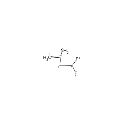 C=C(N)C=C(F)F